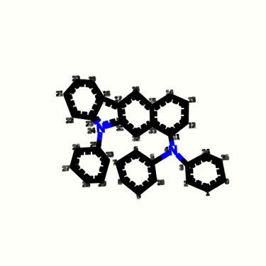 c1ccc(N(c2ccccc2)c2cccc3cc4c5ccccc5n(-c5ccccc5)c4cc23)cc1